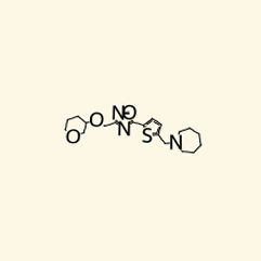 c1cc(-c2nc(COC3CCCOC3)no2)sc1CN1CCCCCC1